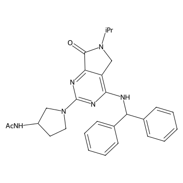 CC(=O)NC1CCN(c2nc(NC(c3ccccc3)c3ccccc3)c3c(n2)C(=O)N(C(C)C)C3)C1